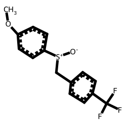 COc1ccc([S+]([O-])Cc2ccc(C(F)(F)F)cc2)cc1